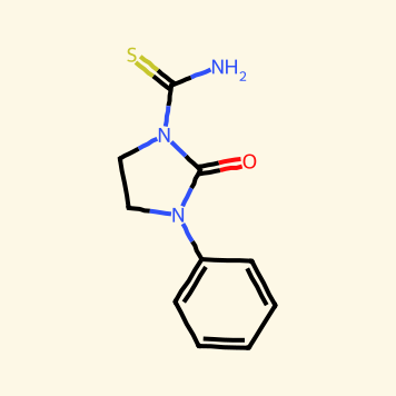 NC(=S)N1CCN(c2ccccc2)C1=O